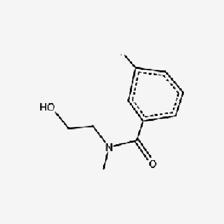 [CH2]c1cccc(C(=O)N(C)CCO)c1